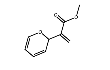 C=C(C(=O)OC)C1C=CC=CO1